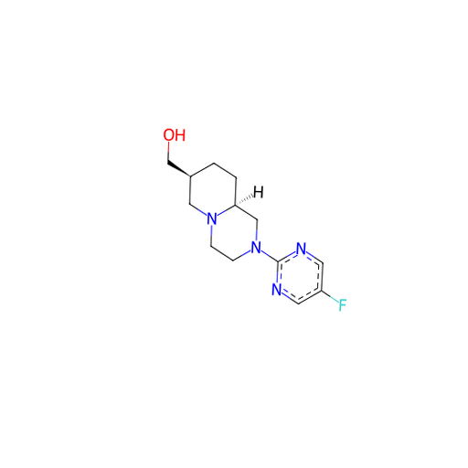 OC[C@H]1CC[C@H]2CN(c3ncc(F)cn3)CCN2C1